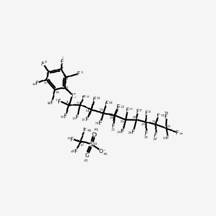 Fc1c(F)c(F)c([I+]C(F)(F)C(F)(F)C(F)(F)C(F)(F)C(F)(F)C(F)(F)C(F)(F)C(F)(F)C(F)(F)C(F)(F)F)c(F)c1F.O=S(=O)([O-])C(F)(F)F